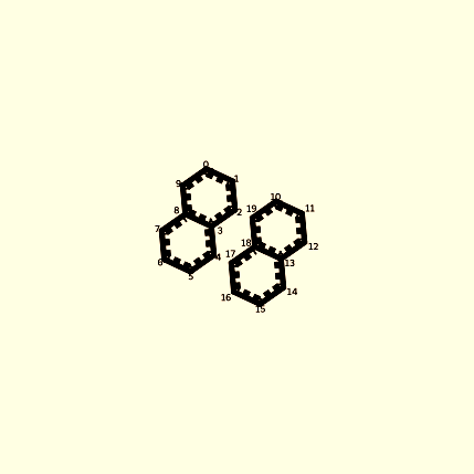 [c]1ccc2ccccc2c1.[c]1ccc2ccccc2c1